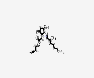 CCCCC[C@H](O)/C=C/[C@H]1[C@H](O)CC(=O)[C@@H]1CC(=O)OCCC#N